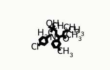 Cc1ccc2c(c1)c(C(=O)CC(C)(C)C)c(CC(C)(C)CO)n2Cc1ccc(Cl)cc1